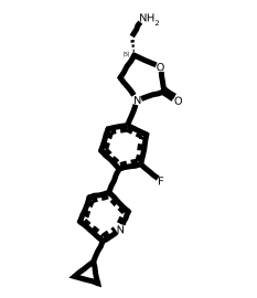 NC[C@H]1CN(c2ccc(-c3ccc(C4CC4)nc3)c(F)c2)C(=O)O1